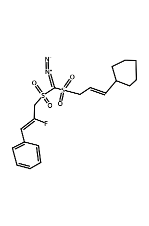 [N-]=[N+]=C(S(=O)(=O)CC=CC1CCCCC1)S(=O)(=O)CC(F)=Cc1ccccc1